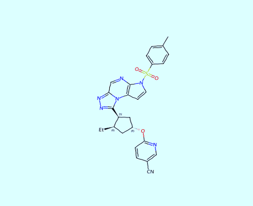 CC[C@@H]1C[C@@H](Oc2ccc(C#N)cn2)C[C@@H]1c1nnc2cnc3c(ccn3S(=O)(=O)c3ccc(C)cc3)n12